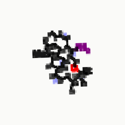 C=C/C=C\C/C(P)=C/CO/C(CC)=C(/C)C(C)C/C=C\C(/C=C\CCCC=C)CCSC